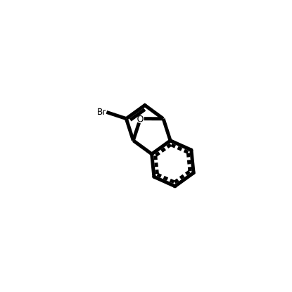 BrC1=CC2OC1c1ccccc12